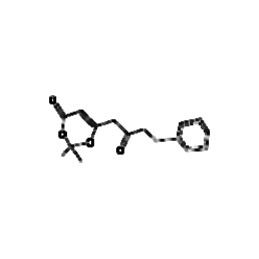 CC1(C)OC(=O)C=C(CC(=O)CCc2ccccc2)O1